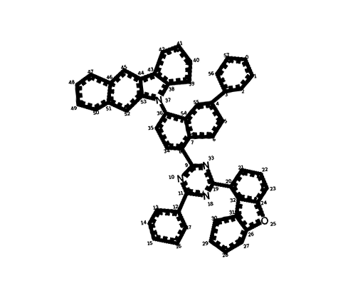 c1ccc(-c2ccc3c(-c4nc(-c5ccccc5)nc(-c5cccc6oc7ccccc7c56)n4)ccc(-n4c5ccccc5c5cc6ccccc6cc54)c3c2)cc1